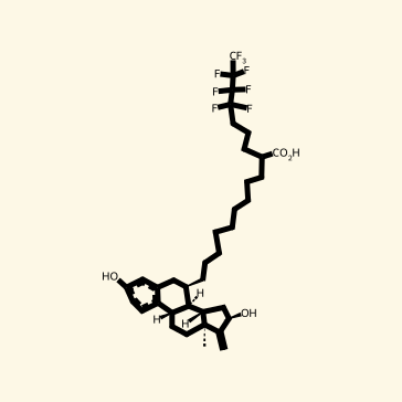 C=C1[C@H](O)C[C@H]2[C@@H]3[C@H](CCCCCCCCCC(CCCC(F)(F)C(F)(F)C(F)(F)C(F)(F)F)C(=O)O)Cc4cc(O)ccc4[C@H]3CC[C@]12C